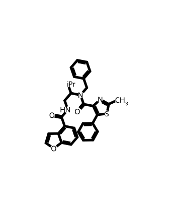 Cc1nc(C(=O)N(Cc2ccccc2)C(CNC(=O)c2cccc3occc23)C(C)C)c(-c2ccccc2)s1